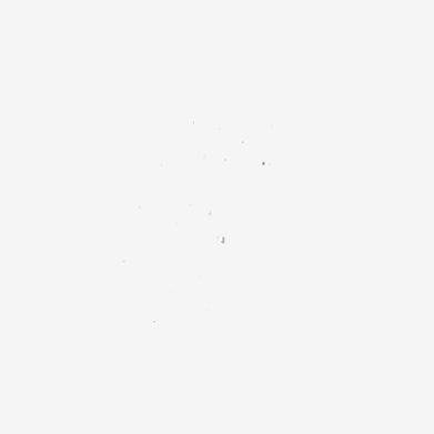 CCCCC(C)(C)c1c(CC)c(CC)c2c([nH]c3c(CC)c(CC)c(CC)c(CC)c32)c1CC